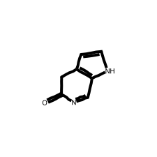 O=C1Cc2cc[nH]c2C=N1